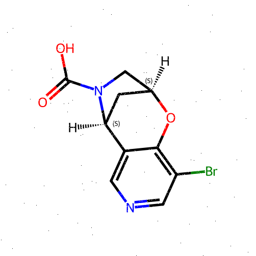 O=C(O)N1C[C@@H]2C[C@H]1c1cncc(Br)c1O2